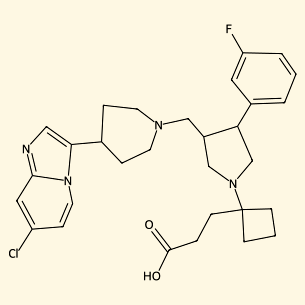 O=C(O)CCC1(N2CC(CN3CCC(c4cnc5cc(Cl)ccn45)CC3)C(c3cccc(F)c3)C2)CCC1